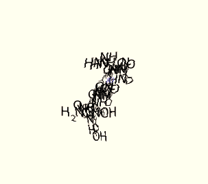 CNC(=N)NCCC[C@H](NC(=O)[C@@H](/C=C/CNC(=O)[C@H](CC1CCCCC1)NC(=O)[C@@H](NC(=O)[C@H](CCCNC(N)=O)NC(=O)[C@@H]1C[C@@H](O)CN1C(=O)[C@@H](Cc1ccc(O)cc1)NC(C)=O)[C@@H](C)O)CC(C)C)C(=O)N[C@@H](Cc1c[nH]c2ccccc12)C(N)=O